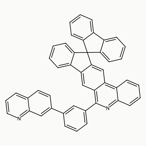 c1cc(-c2ccc3cccnc3c2)cc(-c2nc3ccccc3c3cc4c(cc23)-c2ccccc2C42c3ccccc3-c3ccccc32)c1